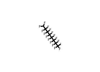 FC(F)C(F)(F)C(F)(F)C(F)(F)C(F)(F)C(F)(F)C(F)(F)C(F)(F)I